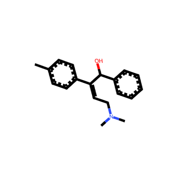 Cc1ccc(C(=CCN(C)C)C(O)c2ccccc2)cc1